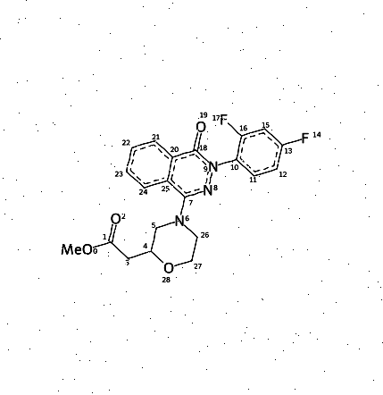 COC(=O)CC1CN(c2nn(-c3ccc(F)cc3F)c(=O)c3ccccc23)CCO1